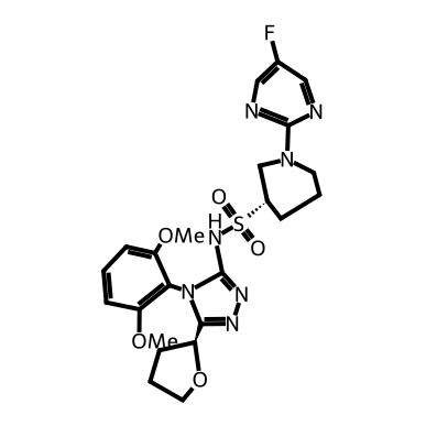 COc1cccc(OC)c1-n1c(NS(=O)(=O)[C@H]2CCCN(c3ncc(F)cn3)C2)nnc1[C@@H]1CCCO1